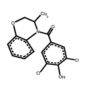 CC1COc2ccccc2N1C(=O)c1cc(Cl)c(O)c(Cl)c1